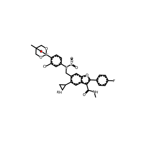 CNC(=O)c1c(-c2ccc(F)cc2)oc2cc(CN(c3ccc([B-]45OCC(C)(CO4)CO5)c(Cl)c3)[SH](=O)=O)c(C3CC3)cc12.[KH]